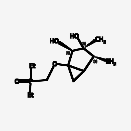 B[C@@H]1C2CC2(OCP(=O)(CC)CC)[C@@H](O)[C@@]1(C)O